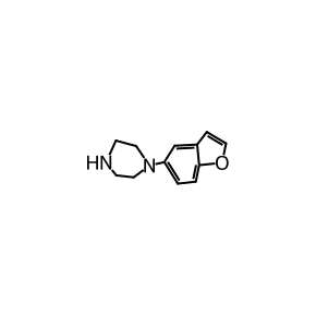 c1cc2cc(N3CCNCC3)ccc2o1